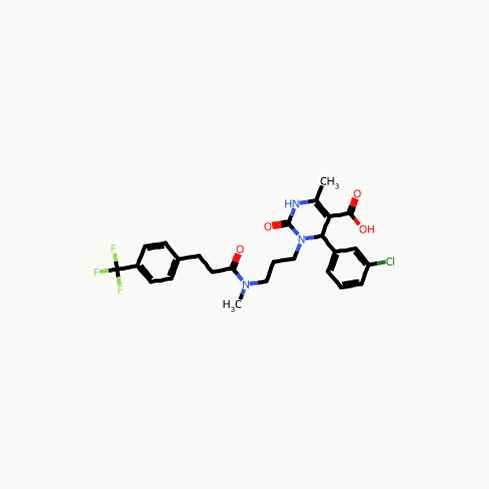 CC1=C(C(=O)O)C(c2cccc(Cl)c2)N(CCCN(C)C(=O)CCc2ccc(C(F)(F)F)cc2)C(=O)N1